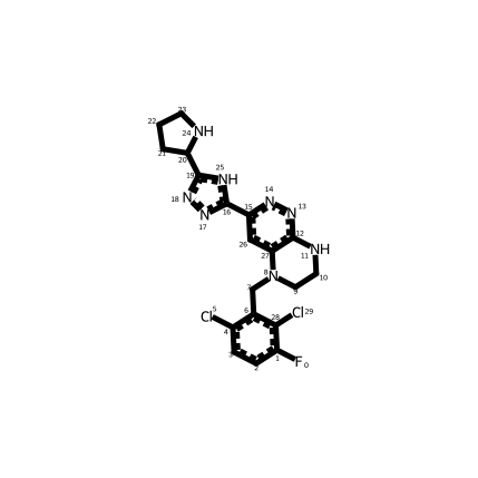 Fc1ccc(Cl)c(CN2CCNc3nnc(-c4nnc(C5CCCN5)[nH]4)cc32)c1Cl